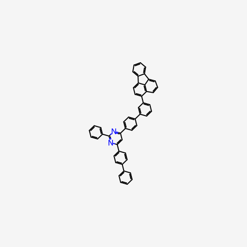 c1ccc(-c2ccc(-c3cc(-c4ccc(-c5cccc(-c6ccc7c8c(cccc68)-c6ccccc6-7)c5)cc4)nc(-c4ccccc4)n3)cc2)cc1